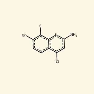 Nc1cc(Cl)c2ccc(Br)c(F)c2n1